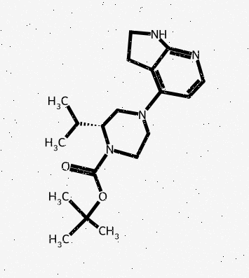 CC(C)[C@@H]1CN(c2ccnc3c2CCN3)CCN1C(=O)OC(C)(C)C